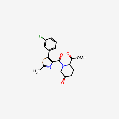 COC(=O)C1CCC(=O)CN1C(=O)c1nc(C)sc1-c1cccc(F)c1